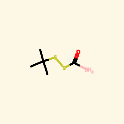 BC(=O)SSC(C)(C)C